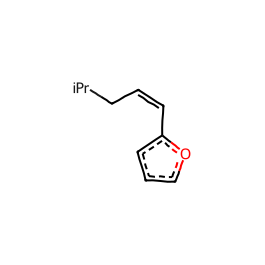 CC(C)C/C=C\c1ccco1